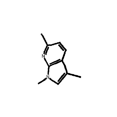 Cc1ccc2c(C)cn(C)c2n1